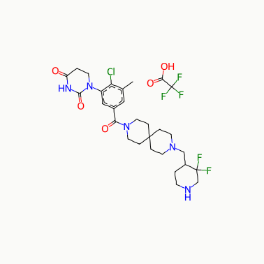 Cc1cc(C(=O)N2CCC3(CCN(CC4CCNCC4(F)F)CC3)CC2)cc(N2CCC(=O)NC2=O)c1Cl.O=C(O)C(F)(F)F